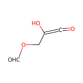 O=C=C(O)COC=O